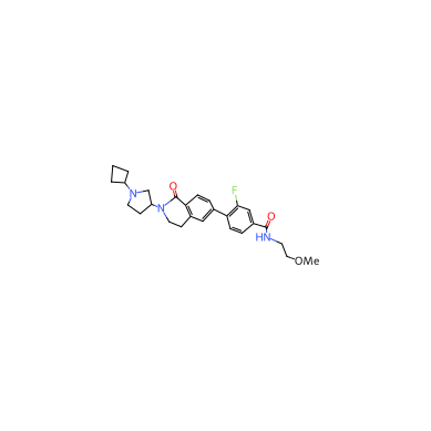 COCCNC(=O)c1ccc(-c2ccc3c(c2)CCN(C2CCN(C4CCC4)C2)C3=O)c(F)c1